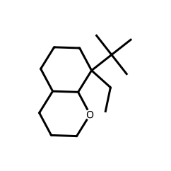 CCC1(C(C)(C)C)CCCC2CCCOC21